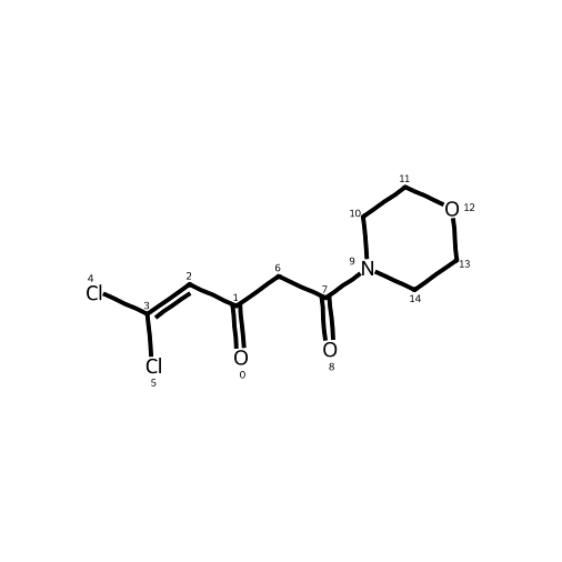 O=C(C=C(Cl)Cl)CC(=O)N1CCOCC1